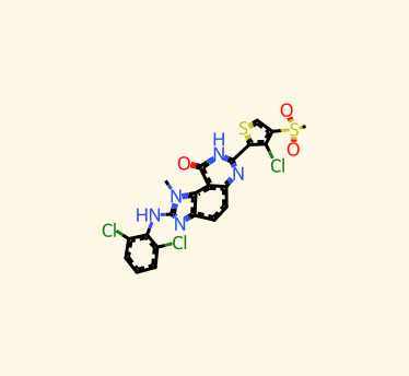 Cn1c(Nc2c(Cl)cccc2Cl)nc2ccc3nc(-c4scc(S(C)(=O)=O)c4Cl)[nH]c(=O)c3c21